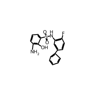 Nc1cccc(S(=O)(=O)Nc2cc(-c3ccccc3)ccc2F)c1O